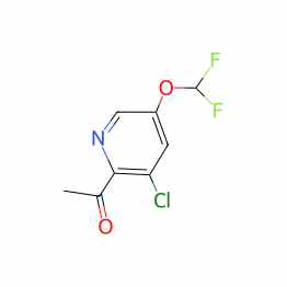 CC(=O)c1ncc(OC(F)F)cc1Cl